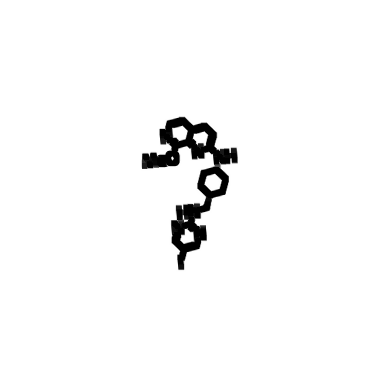 COc1nccc2ccc(N[C@H]3CC[C@H](CNc4ncc(I)cn4)CC3)nc12